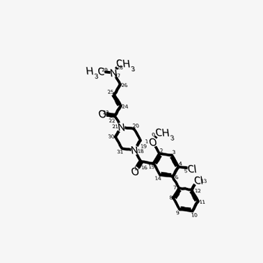 COc1cc(Cl)c(-c2ccccc2Cl)cc1C(=O)N1CCN(C(=O)C=CCN(C)C)CC1